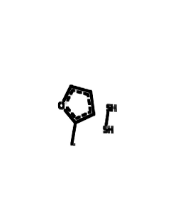 SS.[CH2]c1ccco1